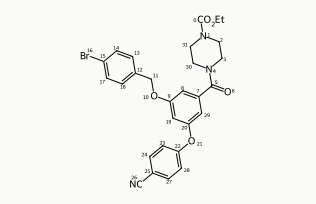 CCOC(=O)N1CCN(C(=O)c2cc(OCc3ccc(Br)cc3)cc(Oc3ccc(C#N)cc3)c2)CC1